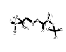 CN(SC(Cl)(Cl)Cl)C(=O)ON=CC(C)(C)[N+](=O)[O-]